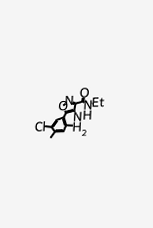 CCNC(=O)c1noc(-c2cc(Cl)c(C)cc2C)c1N